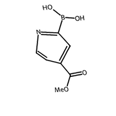 COC(=O)c1ccnc(B(O)O)c1